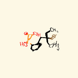 CCC(Br)(CC)Cc1ccccc1P(=O)(O)O